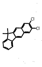 CC1(C)c2ccccc2-c2cc3cc(Cl)c(Cl)cc3cc21